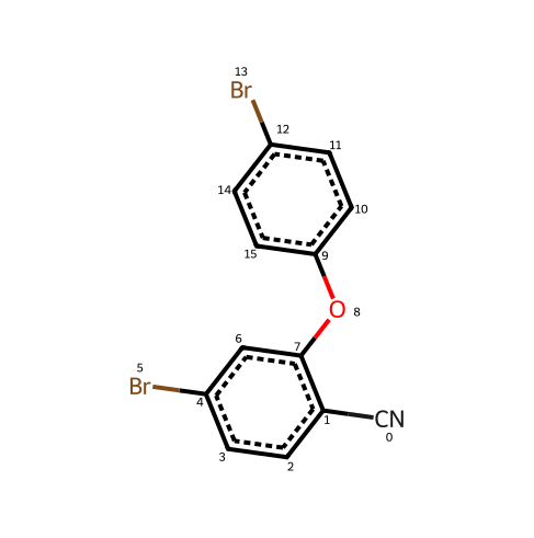 N#Cc1ccc(Br)cc1Oc1ccc(Br)cc1